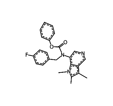 Cc1c(C)n(C)c2c(N(Cc3ccc(F)cc3)C(=O)Oc3ccccc3)cncc12